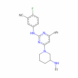 CCCc1cc(N2CCCC(NCC)C2)nc(Nc2ccc(F)c(C#N)c2)n1